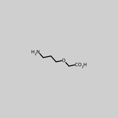 NCCCOCC(=O)O